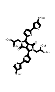 CCCCCCCCC(CCCCCC)CN1C(=O)C2=C(c3ccc(-c4cc(CCCCCC)cs4)o3)N(CC(CCCCCC)CCCCCCCC)C(=O)C2=C1c1ccc(-c2cc(CCCCCC)cs2)o1